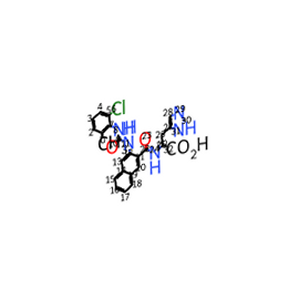 Cc1cccc(Cl)c1NC(=O)Nc1cc2ccccc2cc1C(=O)N[C@@H](Cc1cnc[nH]1)C(=O)O